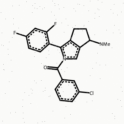 CNC1CCc2c1cn(C(=O)c1cccc(Cl)c1)c2-c1ccc(F)cc1F